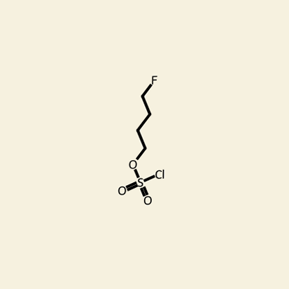 O=S(=O)(Cl)OCCCCF